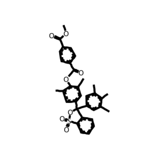 COC(=O)c1ccc(C(=O)Oc2c(C)cc(C3(c4cc(C)c(C)c(C)c4)OS(=O)(=O)c4ccccc43)cc2C)cc1